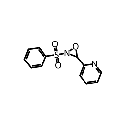 O=S(=O)(c1ccccc1)N1OC1c1ccccn1